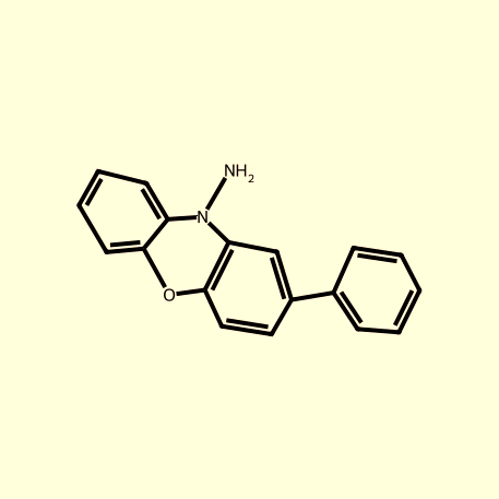 NN1c2ccccc2Oc2ccc(-c3ccccc3)cc21